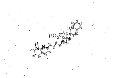 O=C(O)CC(c1cnc2ccccc2c1)C1(F)CN(CCCCc2ccc3c(n2)NCCC3)C1